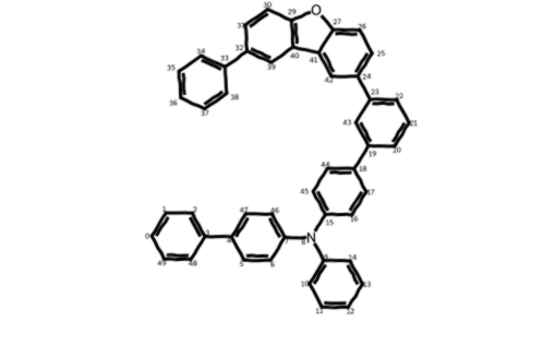 c1ccc(-c2ccc(N(c3ccccc3)c3ccc(-c4cccc(-c5ccc6oc7ccc(-c8ccccc8)cc7c6c5)c4)cc3)cc2)cc1